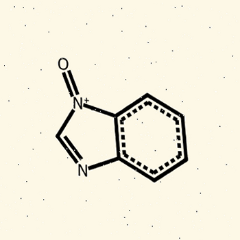 O=[N+]1C=Nc2ccccc21